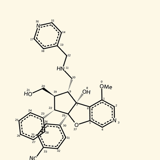 COc1cncc2c1[C@]1(O)[C@@H](CNCc3ccncc3)[C@H](CO)[C@@H](c3ccccc3)[C@]1(c1ccc(C#N)cc1)O2